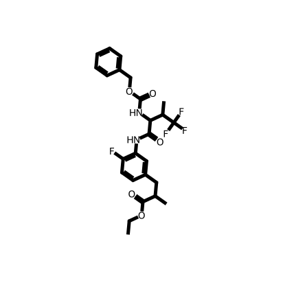 CCOC(=O)C(C)Cc1ccc(F)c(NC(=O)C(NC(=O)OCc2ccccc2)C(C)C(F)(F)F)c1